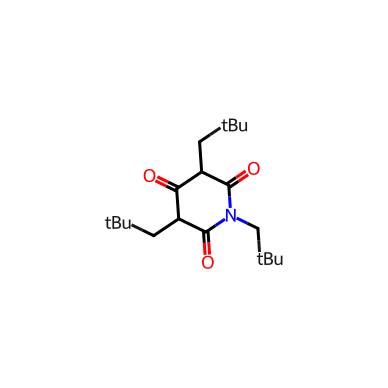 CC(C)(C)CC1C(=O)C(CC(C)(C)C)C(=O)N(CC(C)(C)C)C1=O